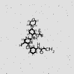 C=CC(=O)Nc1cccc(Oc2nc(Nc3ccc(N4CCOCC4)cc3OC(F)F)ncc2I)c1